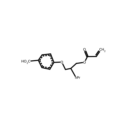 C=CC(=O)OCC(CCC)COc1ccc(C(=O)O)cc1